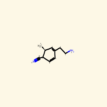 C[C@H]1C=C(CCN)C=CC1C#N